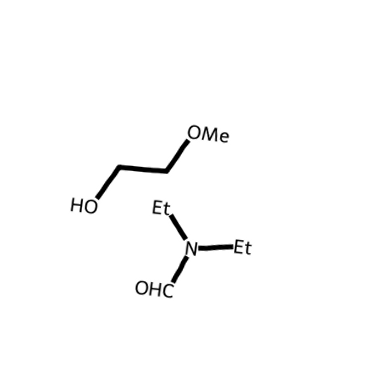 CCN(C=O)CC.COCCO